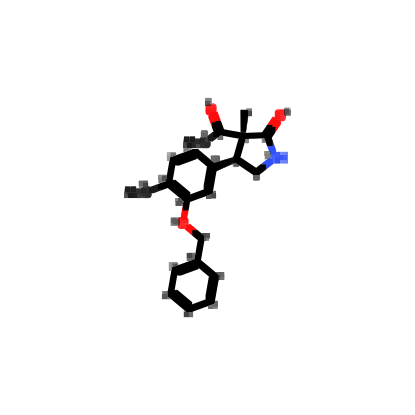 COC(=O)[C@]1(C)C(=O)NC[C@H]1c1ccc(OC)c(OCc2ccccc2)c1